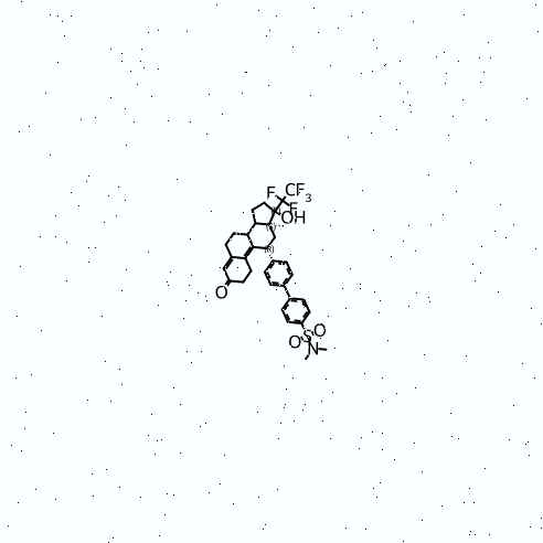 CN(C)S(=O)(=O)c1ccc(-c2ccc([C@H]3C[C@@]4(C)C(CC[C@]4(O)C(F)(F)C(F)(F)F)C4CCC5=CC(=O)CCC5=C43)cc2)cc1